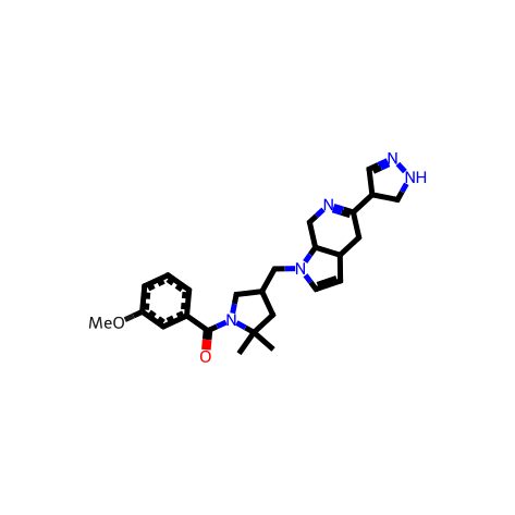 COc1cccc(C(=O)N2CC(CN3C=CC4CC(C5C=NNC5)=NCC43)CC2(C)C)c1